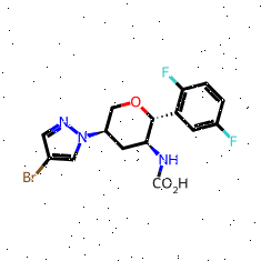 O=C(O)N[C@H]1C[C@@H](n2cc(Br)cn2)CO[C@@H]1c1cc(F)ccc1F